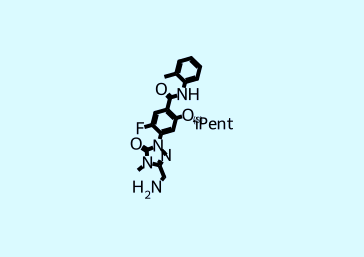 CCC[C@H](C)Oc1cc(-n2nc(CN)n(C)c2=O)c(F)cc1C(=O)Nc1ccccc1C